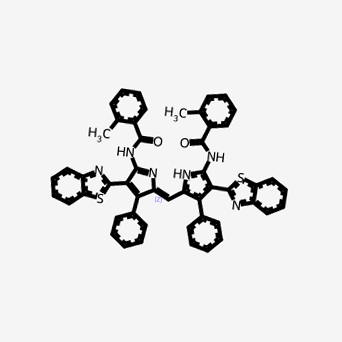 Cc1ccccc1C(=O)NC1=N/C(=C\c2[nH]c(NC(=O)c3ccccc3C)c(-c3nc4ccccc4s3)c2-c2ccccc2)C(c2ccccc2)=C1c1nc2ccccc2s1